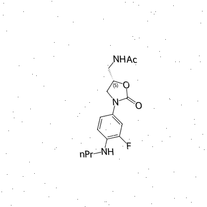 CCCNc1ccc(N2C[C@H](CNC(C)=O)OC2=O)cc1F